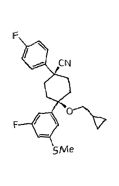 CSc1cc(F)cc([C@]2(OCC3CC3)CC[C@](C#N)(c3ccc(F)cc3)CC2)c1